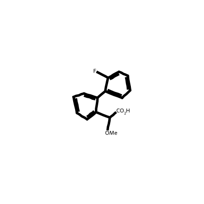 COC(C(=O)O)c1ccccc1-c1ccccc1F